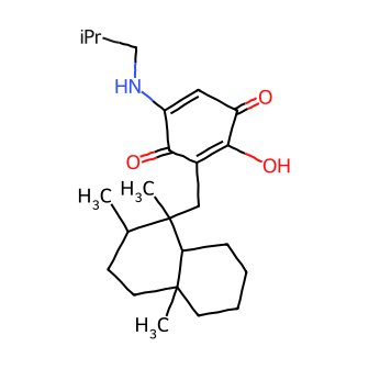 CC(C)CNC1=CC(=O)C(O)=C(CC2(C)C(C)CCC3(C)CCCCC32)C1=O